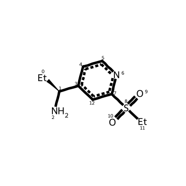 CC[C@H](N)c1ccnc(S(=O)(=O)CC)c1